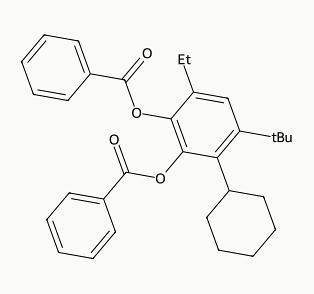 CCc1cc(C(C)(C)C)c(C2CCCCC2)c(OC(=O)c2ccccc2)c1OC(=O)c1ccccc1